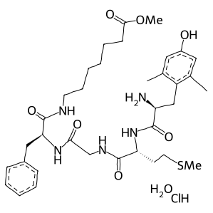 COC(=O)CCCCCCNC(=O)[C@H](Cc1ccccc1)NC(=O)CNC(=O)[C@@H](CCSC)NC(=O)[C@@H](N)Cc1c(C)cc(O)cc1C.Cl.O